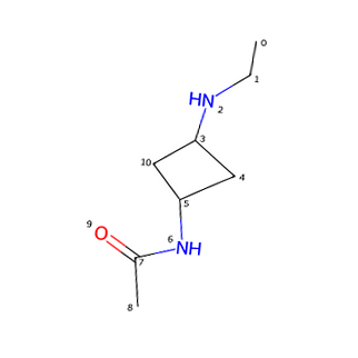 CCNC1CC(NC(C)=O)C1